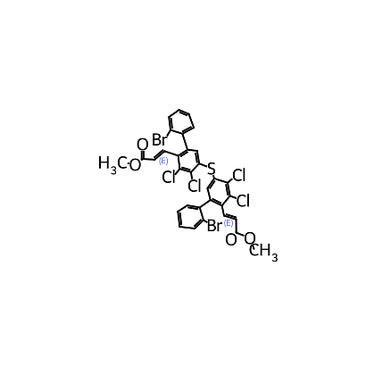 COC(=O)/C=C/c1c(-c2ccccc2Br)cc(Sc2cc(-c3ccccc3Br)c(/C=C/C(=O)OC)c(Cl)c2Cl)c(Cl)c1Cl